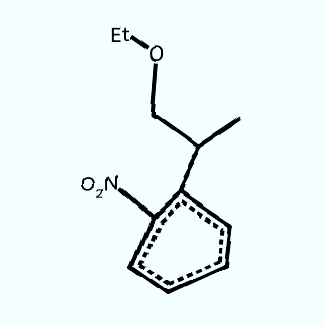 CCOCC(C)c1ccccc1[N+](=O)[O-]